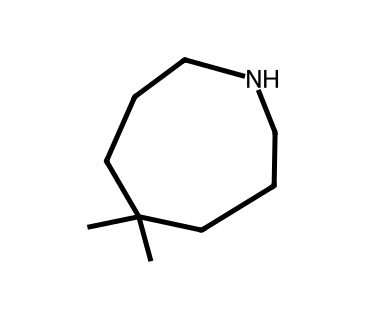 CC1(C)CCCNCCC1